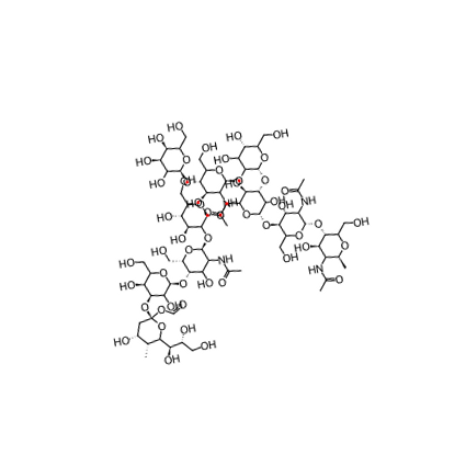 CC(=O)NC1C(O)[C@H](O[C@@H]2OC(CO)[C@H](O)[C@H](O[C@]3(OC=O)C[C@@H](O)[C@@H](C)C([C@H](O)[C@H](O)CO)O3)C2O)[C@H](CO)O[C@H]1OC1[C@@H](OCC2O[C@@H](O[C@@H]3C(CO)O[C@@H](O[C@@H]4C(CO)O[C@@H](C)C(NC(C)=O)[C@H]4O)C(NC(C)=O)[C@H]3O)C(O)[C@@H](O[C@H]3OC(CO)[C@@H](O)C(O)C3O[C@@H]3OC(CO)[C@@H](O[C@@H]4OC(CO)[C@H](O)[C@H](O)C4O)[C@H](O)C3NC(C)=O)[C@@H]2O)OC(CO)[C@@H](O)[C@@H]1O